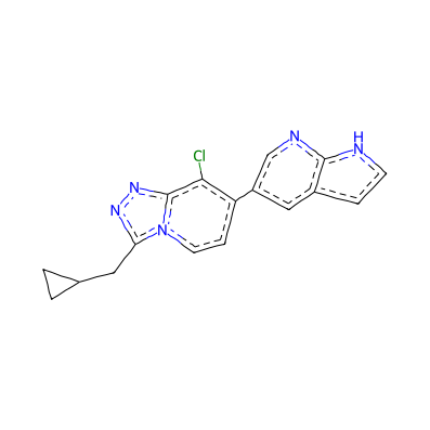 Clc1c(-c2cnc3[nH]ccc3c2)ccn2c(CC3CC3)nnc12